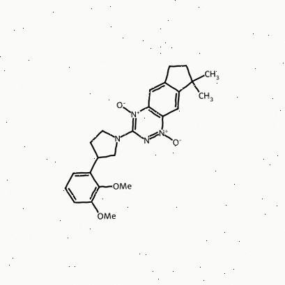 COc1cccc(C2CCN(c3n[n+]([O-])c4cc5c(cc4[n+]3[O-])CCC5(C)C)C2)c1OC